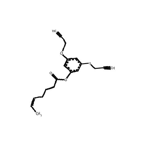 C#CCOc1cc(OCC#C)cc(OC(=O)CCC/C=C\C)c1